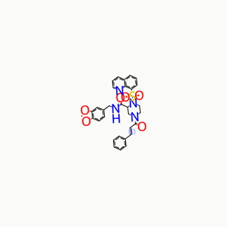 O=C(NCc1ccc2c(c1)OCO2)C1CN(C(=O)/C=C/c2ccccc2)CCN1S(=O)(=O)c1cccc2cccnc12